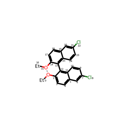 CCOc1ccc2cc(Cl)ccc2c1-c1c(OCC)ccc2cc(Cl)ccc12